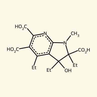 CCc1c(C(=O)O)c(C(=O)O)nc2c1C(O)(CC)C(CC)(C(=O)O)N2C